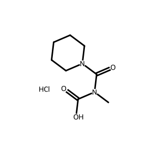 CN(C(=O)O)C(=O)N1CCCCC1.Cl